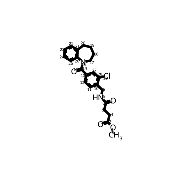 COC(=O)CCC(=O)NCc1ccc(C(=O)N2CCCCc3ccccc32)cc1Cl